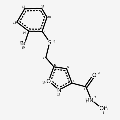 O=C(NO)c1cc(CSc2ccccc2Br)on1